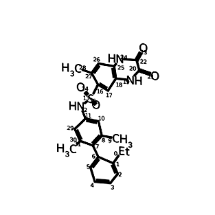 CCc1ccccc1-c1c(C)cc(NS(=O)(=O)c2cc3[nH]c(=O)c(=O)[nH]c3cc2C)cc1C